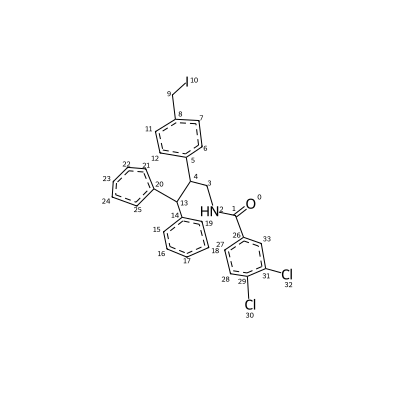 O=C(NCC(c1ccc(CI)cc1)C(c1ccccc1)c1ccccc1)c1ccc(Cl)c(Cl)c1